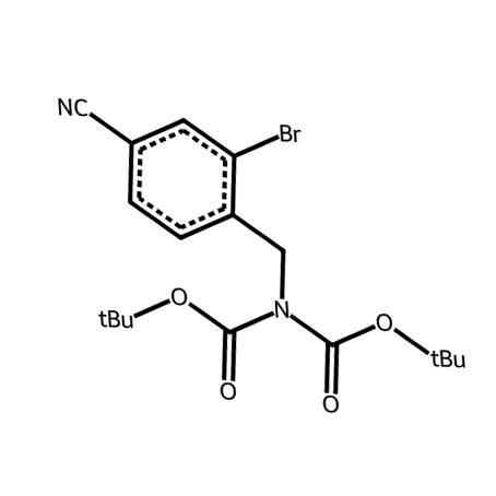 CC(C)(C)OC(=O)N(Cc1ccc(C#N)cc1Br)C(=O)OC(C)(C)C